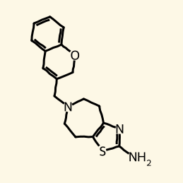 Nc1nc2c(s1)CCN(CC1=Cc3ccccc3OC1)CC2